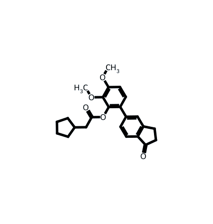 COc1ccc(-c2ccc3c(c2)CCC3=O)c(OC(=O)CC2CCCC2)c1OC